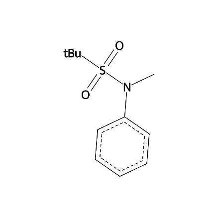 CN(c1ccccc1)S(=O)(=O)C(C)(C)C